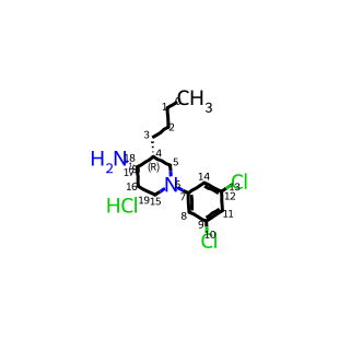 CCCC[C@@H]1CN(c2cc(Cl)cc(Cl)c2)CC[C@@H]1N.Cl